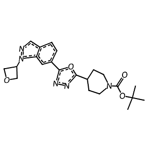 CC(C)(C)OC(=O)N1CCC(c2nnc(-c3ccc4cnn(C5COC5)c4c3)o2)CC1